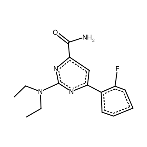 CCN(CC)c1nc(C(N)=O)cc(-c2ccccc2F)n1